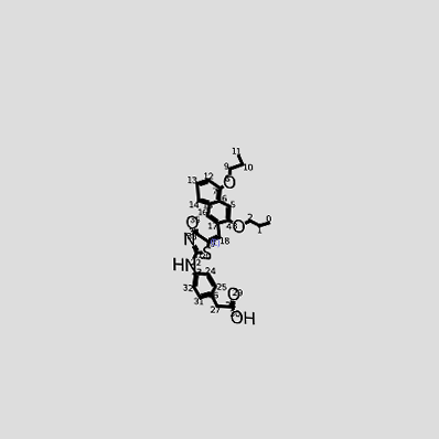 CCCOc1cc2c(OCCC)cccc2cc1/C=C1/SC(Nc2ccc(CC(=O)O)cc2)=NC1=O